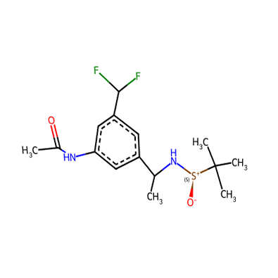 CC(=O)Nc1cc(C(F)F)cc(C(C)N[S@+]([O-])C(C)(C)C)c1